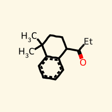 CCC(=O)C1CCC(C)(C)c2ccccc21